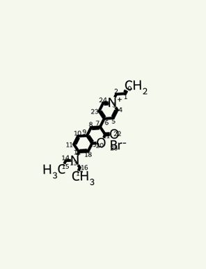 C=CC[n+]1ccc(-c2cc3ccc(N(CC)CC)cc3oc2=O)cc1.[Br-]